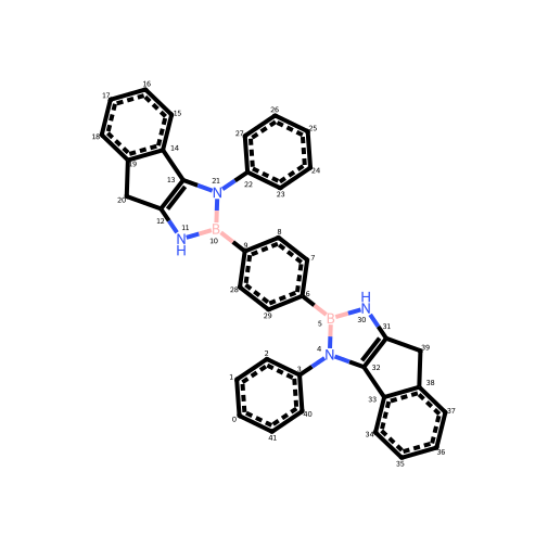 c1ccc(N2B(c3ccc(B4NC5=C(c6ccccc6C5)N4c4ccccc4)cc3)NC3=C2c2ccccc2C3)cc1